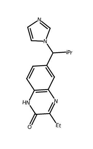 CCc1nc2cc(C(C(C)C)n3ccnc3)ccc2[nH]c1=O